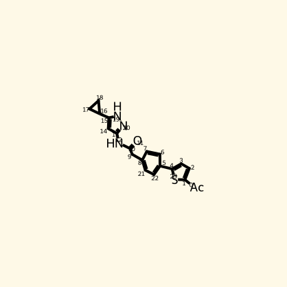 CC(=O)c1ccc(-c2ccc(CC(=O)Nc3cc(C4CC4)[nH]n3)cc2)s1